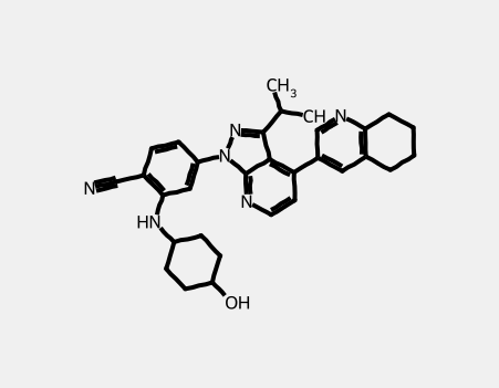 CC(C)c1nn(-c2ccc(C#N)c(NC3CCC(O)CC3)c2)c2nccc(-c3cnc4c(c3)CCCC4)c12